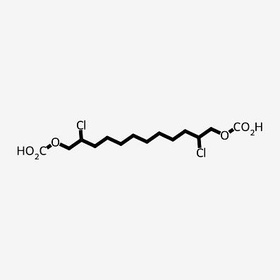 O=C(O)OCC(Cl)CCCCCCCCC(Cl)COC(=O)O